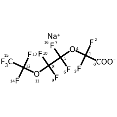 O=C([O-])C(F)(F)OC(F)(F)C(F)(F)OC(F)(F)C(F)(F)F.[Na+]